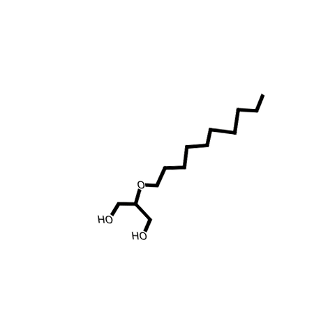 CCCCCCCCCCOC(CO)CO